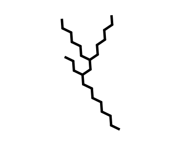 CCCCCCCCC(CCC)CC(CCCCCC)CCCCCC